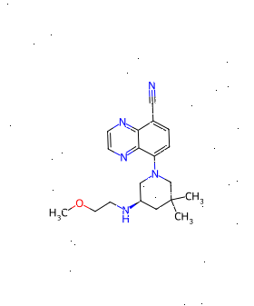 COCCN[C@H]1CN(c2ccc(C#N)c3nccnc23)CC(C)(C)C1